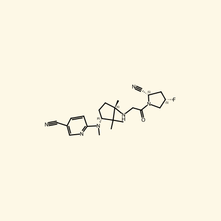 CN(c1ccc(C#N)cn1)[C@@H]1CC[C@](C)(NCC(=O)N2C[C@@H](F)C[C@H]2C#N)C1(C)C